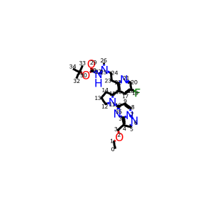 CCOCc1cnn2ccc(N3CCCC3c3cc(F)cnc3CCN(C)NC(=O)OC(C)(C)C)nc12